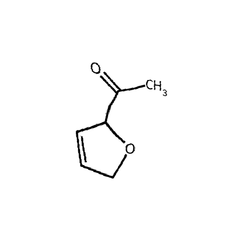 CC(=O)C1C=CCO1